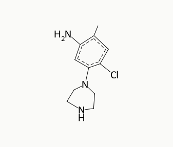 Cc1cc(Cl)c(N2CCNCC2)cc1N